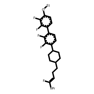 CCCC(F)=CCCC1CCC(c2ccc(-c3ccc(OCC)c(F)c3F)c(F)c2F)CC1